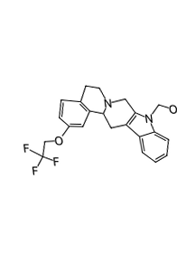 OCn1c2c(c3ccccc31)CC1c3cc(OCC(F)(F)F)ccc3CCN1C2